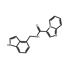 O=C(NCc1cccc2[nH]ccc12)c1cnc2ccccn12